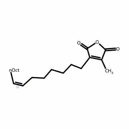 CCCCCCCC/C=C\CCCCCCC1=C(C)C(=O)OC1=O